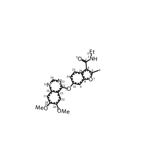 CCNC(=O)c1c(C)oc2cc(Oc3ncnc4cc(OC)c(OC)cc34)ccc12